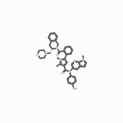 Cc1c(C(=O)N(c2ccc(O)cc2)c2cnc3c(ccn3C)c2)cc(-c2ccccc2C(=O)N2Cc3ccccc3C[C@H]2CN2CCOCC2)n1C